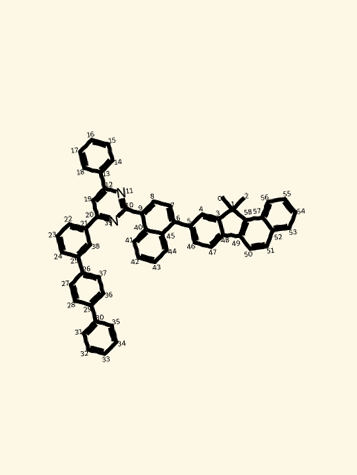 CC1(C)c2cc(-c3ccc(-c4nc(-c5ccccc5)cc(-c5cccc(-c6ccc(-c7ccccc7)cc6)c5)n4)c4ccccc34)ccc2-c2ccc3ccccc3c21